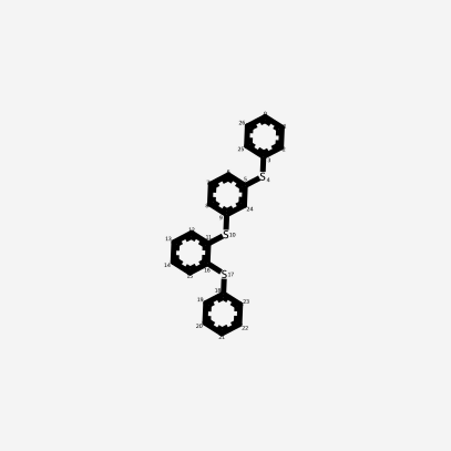 c1ccc(Sc2cccc(Sc3ccccc3Sc3ccccc3)c2)cc1